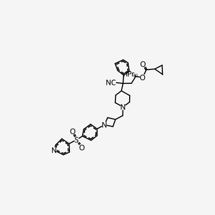 CCC[C@H](CC(C#N)(c1ccccc1)C1CCN(CC2CN(c3ccc(S(=O)(=O)c4ccncc4)cc3)C2)CC1)OC(=O)C1CC1